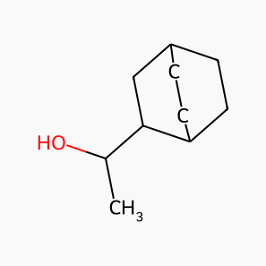 CC(O)C1CC2CCC1CC2